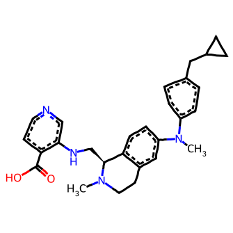 CN(c1ccc(CC2CC2)cc1)c1ccc2c(c1)CCN(C)[C@H]2CNc1cnccc1C(=O)O